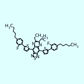 CCCCCc1ccc(-c2ccc(-c3c4nsnc4c(-c4ccc(-c5ccc(CCCCC)cc5F)s4)c4nc(CC)c(CC)nc34)s2)c(F)c1